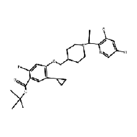 CC(c1ncc(Cl)cc1Cl)N1CCC(COc2cc(F)c(C(=O)OC(C)(C)C)cc2C2CC2)CC1